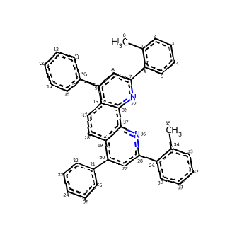 Cc1ccccc1-c1cc(-c2ccccc2)c2ccc3c(-c4ccccc4)cc(-c4ccccc4C)nc3c2n1